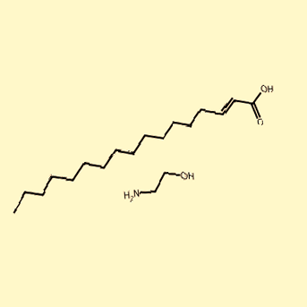 CCCCCCCCCCCCCCC=CC(=O)O.NCCO